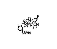 COc1cccc(CS(=O)(=O)C(C)(C)[C@H](N)C(=O)N2C[C@@H](F)C[C@H]2C#N)c1